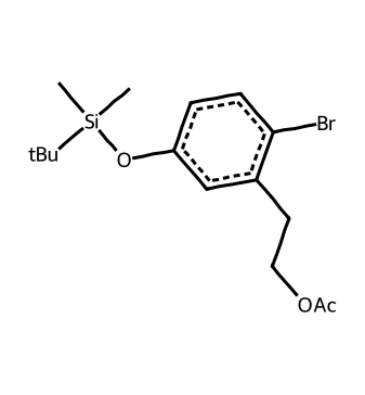 CC(=O)OCCc1cc(O[Si](C)(C)C(C)(C)C)ccc1Br